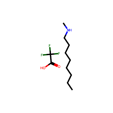 CCCCCCCCNC.O=C(O)C(F)(F)F